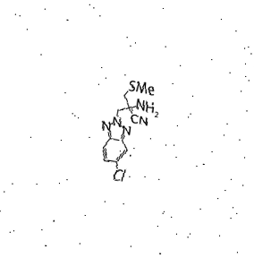 CSCC(N)(C#N)Cn1nc2ccc(Cl)cc2n1